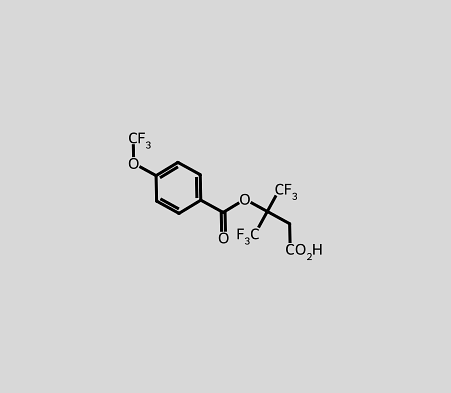 O=C(O)CC(OC(=O)c1ccc(OC(F)(F)F)cc1)(C(F)(F)F)C(F)(F)F